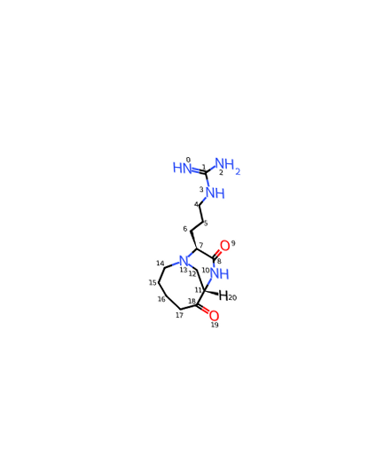 N=C(N)NCCC[C@H]1C(=O)N[C@H]2CN1CCCCC2=O